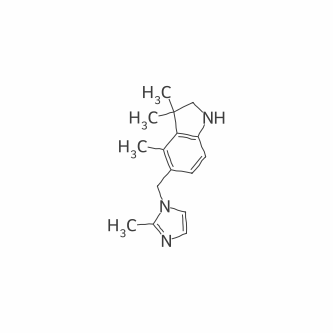 Cc1c(Cn2ccnc2C)ccc2c1C(C)(C)CN2